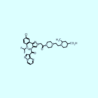 CC1CC(C(=O)O)CCN1CCN1CCN(C(=O)Cn2cc(NC(=O)c3cnn4cccnc34)c(-c3cc(Cl)ccc3OC(F)F)n2)CC1